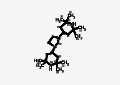 CC1(C)CC(N2CCN(C3CC(C)(C)NC(C)(C)C3)C2)CC(C)(C)N1